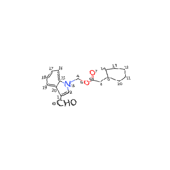 O=Cc1cn(COC(=O)CC2CCCCC2)c2ccccc12